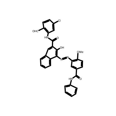 COc1ccc(C(=O)Nc2ccccc2)cc1N=Nc1c(O)c(C(=O)Nc2cc(Cl)ccc2C=O)cc2ccccc12